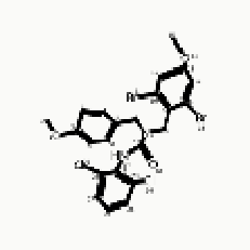 COc1ccc(CN(Cc2c(Br)cc(OC)cc2Br)C(=O)Nc2c(Cl)cccc2Cl)cc1